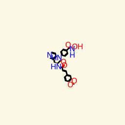 O=C(/C=C/c1ccc2c(c1)OCO2)N[C@@H](Cc1cccnc1)C(=O)Nc1ccc(C(=O)NO)cc1